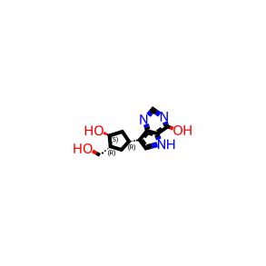 OC[C@H]1C[C@@H](c2c[nH]c3c(O)ncnc23)C[C@@H]1O